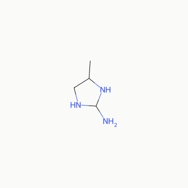 CC1CNC(N)N1